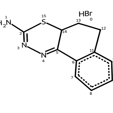 Br.NC1=NN=C2c3ccccc3CCC2S1